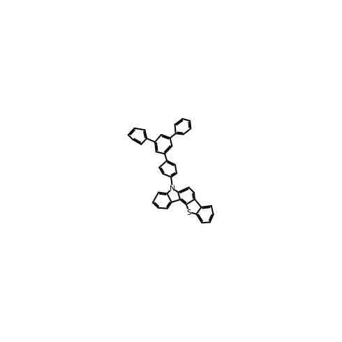 c1ccc(-c2cc(-c3ccccc3)cc(-c3ccc(-n4c5ccccc5c5c6sc7ccccc7c6ccc54)cc3)c2)cc1